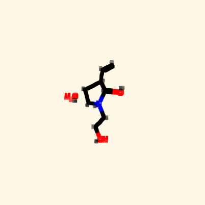 C=CC1CCN(CCO)C1=O.O